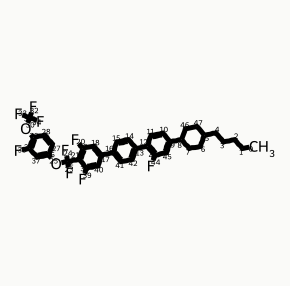 CCCCCC1CCC(c2ccc(-c3ccc(-c4cc(F)c(C(F)(F)Oc5ccc(OC(F)(F)F)c(F)c5)c(F)c4)cc3)c(F)c2)CC1